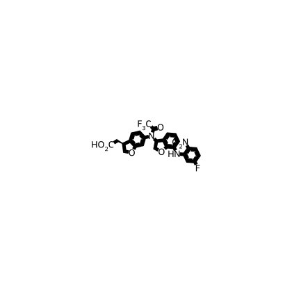 O=C(O)C[C@@H]1COc2cc(N(C(=O)C(F)(F)F)C3COc4c(Nc5cc(F)ccc5[N+](=O)[O-])cccc43)ccc21